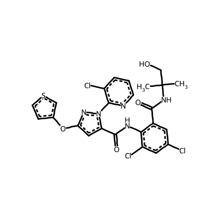 CC(C)(CO)NC(=O)c1cc(Cl)cc(Cl)c1NC(=O)c1cc(Oc2ccsc2)nn1-c1ncccc1Cl